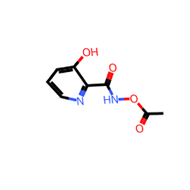 CC(=O)ONC(=O)c1ncccc1O